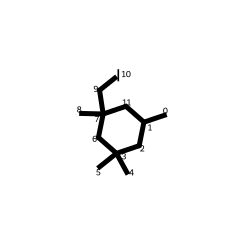 CC1CC(C)(C)CC(C)(CI)C1